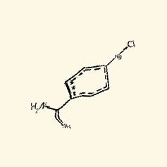 N=C(N)c1cc[c]([Hg][Cl])cc1